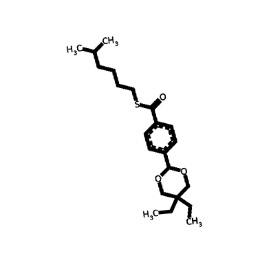 CCC1(CC)COC(c2ccc(C(=O)SCCCCC(C)C)cc2)OC1